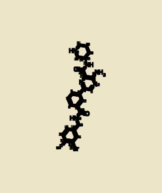 Nc1ncc(-c2cccc(C(=O)NCc3ccc(F)c(Br)c3)c2)nc1C(=O)N[C@H]1CCCNC1